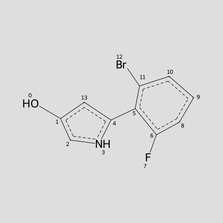 Oc1c[nH]c(-c2c(F)cccc2Br)c1